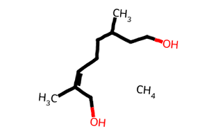 C.C/C(=C/CCC(C)CCO)CO